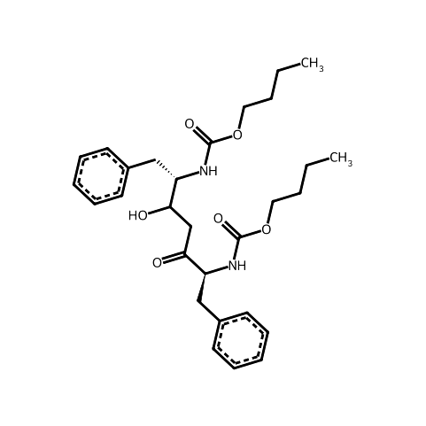 CCCCOC(=O)N[C@@H](Cc1ccccc1)C(=O)CC(O)[C@H](Cc1ccccc1)NC(=O)OCCCC